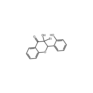 CCC1(O)C(=O)c2ccccc2OC1c1ccccc1O